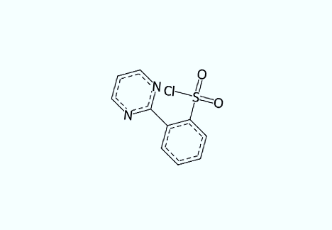 O=S(=O)(Cl)c1ccccc1-c1ncccn1